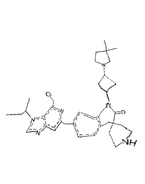 CC(C)n1cnc2cc(-c3ccc4c(c3)N(C3CC(N5CCC(C)(C)C5)C3)C(=O)C43CCNCC3)nc(Cl)c21